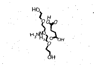 N.N.O=C(O)CCC(=O)O.OCCOCCOCCOCCO